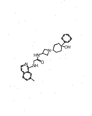 Cc1ccc2ccnc(NCC(=O)NC3CN([C@H]4CC[C@@](O)(c5ccccc5)CC4)C3)c2c1